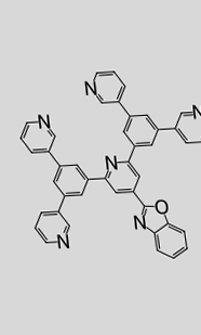 c1cncc(-c2cc(-c3cccnc3)cc(-c3cc(-c4nc5ccccc5o4)cc(-c4cc(-c5cccnc5)cc(-c5cccnc5)c4)n3)c2)c1